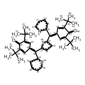 CC(C)(C)C1=CC(=C(c2ccccn2)c2ccc(C(=C3C=C(C(C)(C)C)C(=O)C(C(C)(C)C)=C3)c3ccccn3)s2)C=C(C(C)(C)C)C1=O